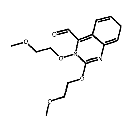 COCCOC1=NC2=CCC=CC2=C(C=O)N1OCCOC